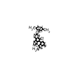 C=C1CN2CC(=C)CC2(COc2ncc3c4c(c(-c5ccc(F)c6sc(N)c(C#N)c56)c(Cl)c3n2)COC4)C1